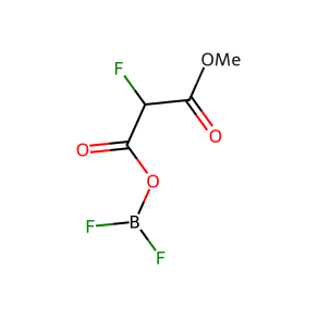 COC(=O)C(F)C(=O)OB(F)F